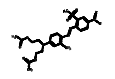 CC(=O)OCCN(CCOC(C)=O)c1ccc(/N=N/c2ccc([N+](=O)[O-])cc2S(C)(=O)=O)c(C)c1